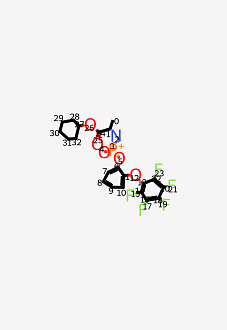 CC(N=[P+]([O-])Oc1ccccc1Oc1c(F)c(F)c(F)c(F)c1F)C(=O)OC1CCCCC1